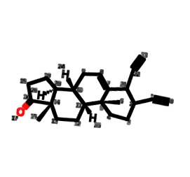 C#CC1CC[C@@]2(C)C(=CC[C@@H]3[C@H]2CC[C@]2(C)C(=O)CC[C@@H]32)C1C#C